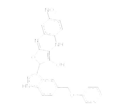 O=[N+]([O-])c1ccc2c(c1)N=C1OC(c3c[nH]c4ccc(COc5ccccc5)cc34)C(O)=C1N2